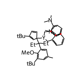 CCC(CC)(c1cc(C)cc(C(C)(C)C)c1OC)[C]1([Y]([CH2]c2ccccc2N(C)C)[CH2]c2ccccc2N(C)C)C=CC(C(C)(C)C)=C1